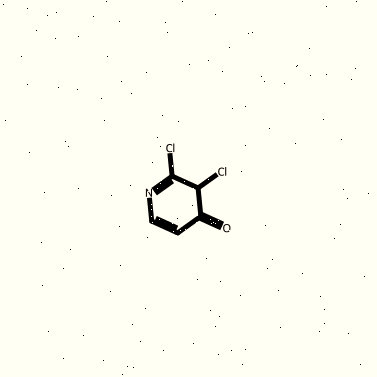 O=C1C=CN=C(Cl)C1Cl